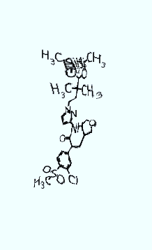 C[SiH2]OC(O[SiH2]C)C(C)(C)CCn1ccc(NC(=O)C(CC2CCOC2)c2ccc(S(C)(=O)=O)c(Cl)c2)n1